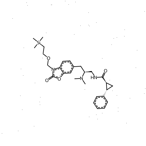 CN(C)[C@H](CNC(=O)[C@H]1C[C@@H]1c1ccccc1)Cc1ccc2c(c1)oc(=O)n2COCC[Si](C)(C)C